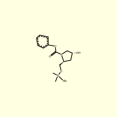 CC(C)(C)[Si](C)(C)OC[C@@H]1C[C@@H](O)CN1C(=O)Oc1ccccc1